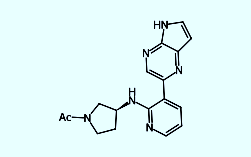 CC(=O)N1CC[C@H](Nc2ncccc2-c2cnc3[nH]ccc3n2)C1